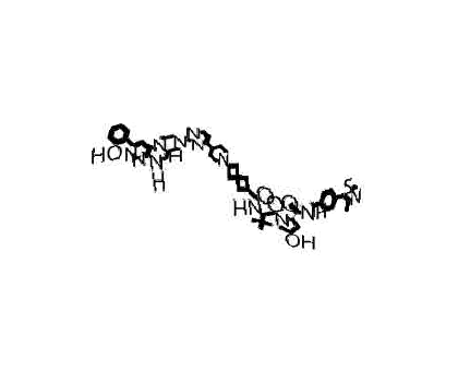 Cc1ncsc1-c1ccc(CNC(=O)[C@@H]2C[C@@H](O)CN2C(=O)[C@@H](NC(=O)C2CC3(C2)CC(N2CCC(c4ccnc(N5CCN6c7cc(-c8ccccc8O)nnc7NC[C@H]6C5)n4)CC2)C3)C(C)(C)C)cc1